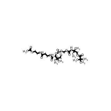 CC(=O)SCCNC(=O)CCNC(=O)[C@@H]1OP(=O)(OCOC(=O)NC(C)(C)COC(=O)C(C)(C)C)OCC1(C)C